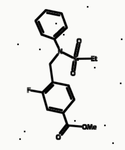 CCS(=O)(=O)N(Cc1ccc(C(=O)OC)cc1F)c1ccccc1